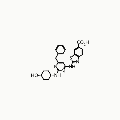 O=C(O)c1ccc2nc(Nc3cc(Cc4ccccc4)nc(N[C@H]4CC[C@H](O)CC4)n3)sc2c1